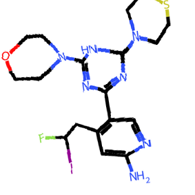 Nc1cc(CC(F)I)c(C2=NC(N3CCSCC3)NC(N3CCOCC3)=N2)cn1